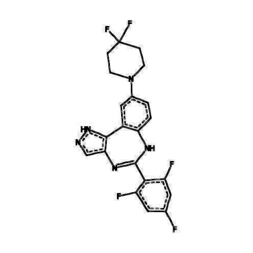 Fc1cc(F)c(C2=Nc3cn[nH]c3-c3cc(N4CCC(F)(F)CC4)ccc3N2)c(F)c1